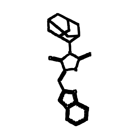 O=C1C(=Cc2cc3ccccc3o2)SC(=S)N1C1C2CC3CC(C2)CC1C3